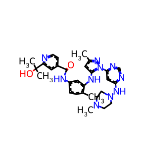 Cc1cc(Nc2cc(NC(=O)c3ccnc(C(C)(C)O)c3)ccc2C)n(-c2cc(NN3CCN(C)CC3)ncn2)n1